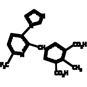 Cc1c(C(=O)O)cccc1C(=O)O.Cc1nc(C(F)(F)F)ccc1-n1ccnc1